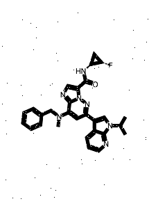 CC(C)n1cc(-c2cc(N(C)Cc3ccccc3)c3ncc(C(=O)N[C@@H]4C[C@@H]4F)n3n2)c2cccnc21